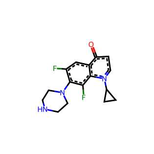 O=c1ccn(C2CC2)c2c(F)c(N3CCNCC3)c(F)cc12